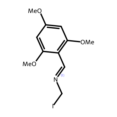 COc1cc(OC)c(/C=N/CI)c(OC)c1